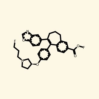 O=C(OF)c1ccc2c(c1)CCCC(c1ccc3ocnc3c1)=C2c1ccc(O[C@H]2CCN(CCCF)C2)cc1